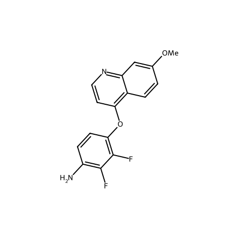 COc1ccc2c(Oc3ccc(N)c(F)c3F)ccnc2c1